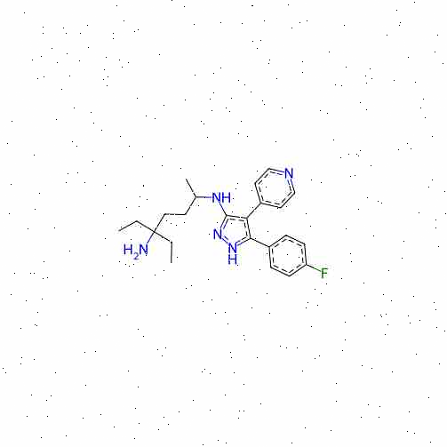 CCC(N)(CC)CCC(C)Nc1n[nH]c(-c2ccc(F)cc2)c1-c1ccncc1